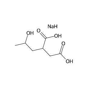 CC(O)CC(CC(=O)O)C(=O)O.[NaH]